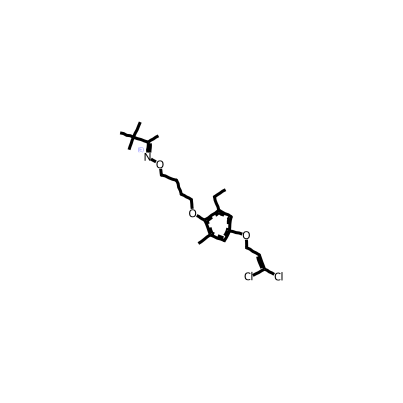 CCc1cc(OCC=C(Cl)Cl)cc(C)c1OCCCCO/N=C(\C)C(C)(C)C